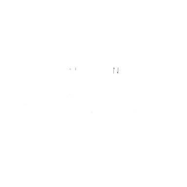 O=C(Cc1ccccn1)C1CC1